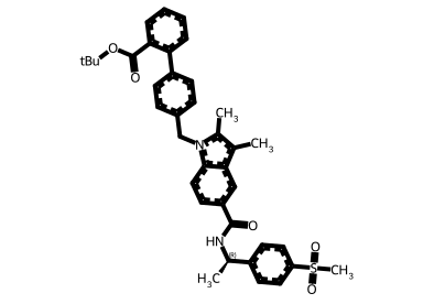 Cc1c(C)n(Cc2ccc(-c3ccccc3C(=O)OC(C)(C)C)cc2)c2ccc(C(=O)N[C@H](C)c3ccc(S(C)(=O)=O)cc3)cc12